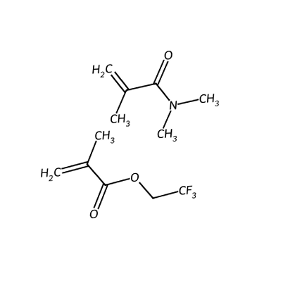 C=C(C)C(=O)N(C)C.C=C(C)C(=O)OCC(F)(F)F